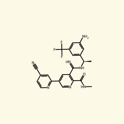 CNC(=O)c1ncc(-c2cc(C#N)ccn2)cc1C(=N)N[C@H](C)c1cc(N)cc(C(F)(F)F)c1